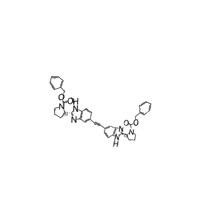 O=C(OCc1ccccc1)N1CCC[C@H]1c1nc2cc(C#Cc3ccc4[nH]c([C@@H]5CCCN5C(=O)OCc5ccccc5)nc4c3)ccc2[nH]1